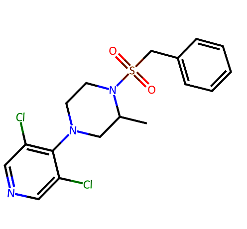 CC1CN(c2c(Cl)cncc2Cl)CCN1S(=O)(=O)Cc1ccccc1